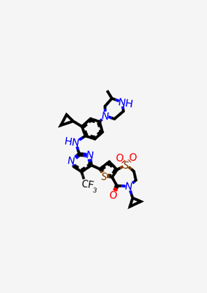 CC1CN(c2ccc(Nc3ncc(C(F)(F)F)c(-c4cc5c(s4)C(=O)N(C4CC4)CCS5(=O)=O)n3)c(C3CC3)c2)CCN1